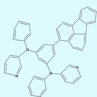 c1ccc(N(c2cccnc2)c2cc(-c3ccc4c5c(cccc35)-c3ccccc3-4)cc(N(c3ccccc3)c3cccnc3)c2)cc1